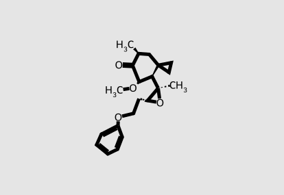 CO[C@@H]1C(=O)[C@@H](C)CC2(CC2)[C@H]1[C@@]1(C)O[C@@H]1CCOc1ccccc1